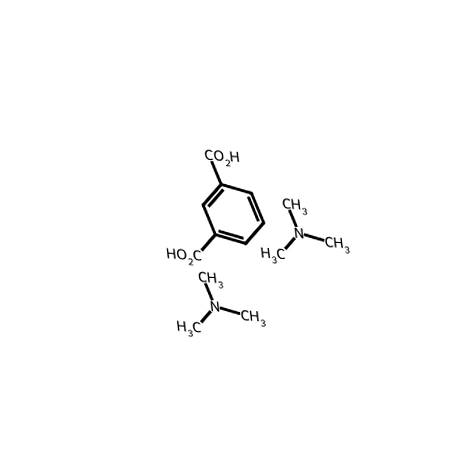 CN(C)C.CN(C)C.O=C(O)c1cccc(C(=O)O)c1